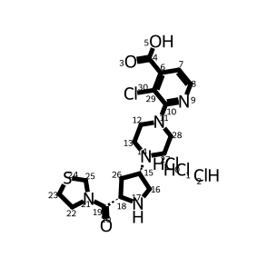 Cl.Cl.Cl.O=C(O)c1ccnc(N2CCN([C@@H]3CN[C@H](C(=O)N4CCSC4)C3)CC2)c1Cl